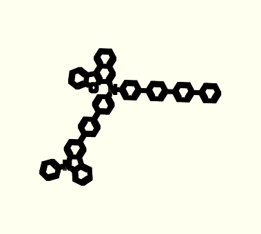 c1ccc(-c2ccc(-c3ccc(-c4ccc(N(c5ccc(-c6ccc(-c7ccc8c(c7)c7ccccc7n8-c7ccccc7)cc6)cc5)c5cc6ccccc6c6c5oc5ccccc56)cc4)cc3)cc2)cc1